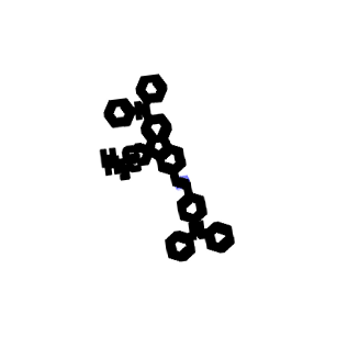 CCC1(CC)c2cc(/C=C/C3=CCC(N(c4ccccc4)c4ccccc4)C=C3)ccc2-c2ccc(N(C3=CCCC=C3)C3=CC=CCC3)cc21